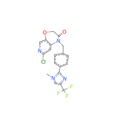 Cn1cc(C(F)(F)F)nc1-c1ccc(CN2C(=O)COc3cnc(Cl)cc32)cc1